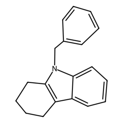 c1ccc(Cn2c3c(c4ccccc42)CCCC3)cc1